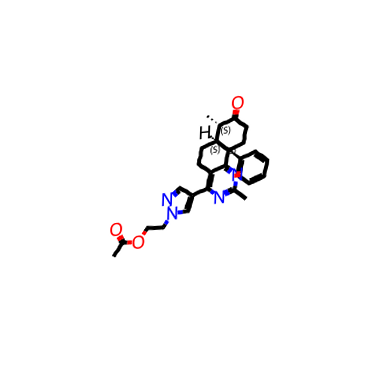 CC(=O)OCCn1cc(-c2nc(C)nc3c2CC[C@H]2[C@H](C)C(=O)CC[C@]32c2ccccc2)cn1